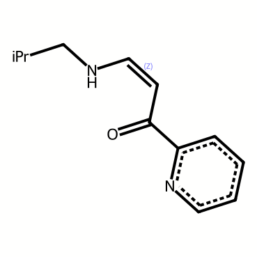 CC(C)CN/C=C\C(=O)c1ccccn1